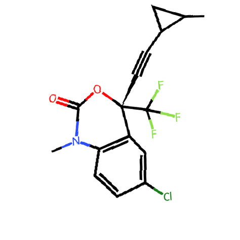 CC1CC1C#C[C@]1(C(F)(F)F)OC(=O)N(C)c2ccc(Cl)cc21